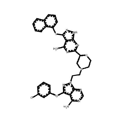 Nc1nc(C2CN(CCn3nc(Oc4cccc(Cl)c4)c4c(N)ncnc43)CCO2)nc2[nH]nc(Sc3cccc4ccccc34)c12